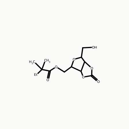 CCC(C)(C)C(=O)OCC1OC(CO)C2OC(=O)OC12